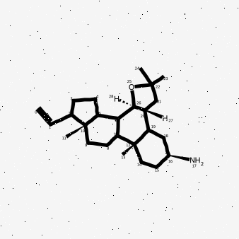 C=CC1CCC2C3C(CC[C@]12C)[C@@]1(C)CC[C@H](N)CC1[C@H]1CC(C)(C)O[C@H]31